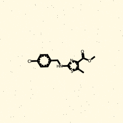 COC(=O)c1nc(NCc2ccc(Cl)cc2)sc1C